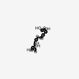 O=C(NCC(=O)N1CC=C(c2cccc(C(O)(C(=O)O)c3ccccc3)c2)CC1)c1ccc(CNCC(O)c2ccc(O)c3[nH]c(=O)ccc23)cc1